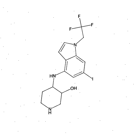 OC1CNCCC1Nc1cc(I)cc2c1ccn2CC(F)(F)F